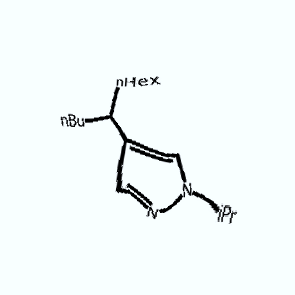 CCCCCCC(CCCC)c1cnn(C(C)C)c1